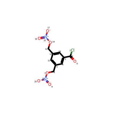 O=C(Cl)c1cc(CO[N+](=O)[O-])cc(CO[N+](=O)[O-])c1